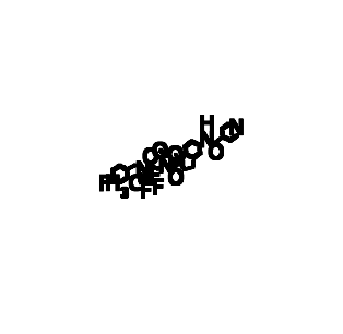 C[C@H](N(Cc1ccc(F)cc1)C(=O)CN1C(=O)O[C@@]2(CCc3cc(NC(=O)c4ccncc4)ccc32)C1=O)C(F)(F)F